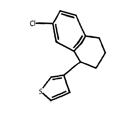 Clc1ccc2c(c1)C(c1c[c]sc1)CCC2